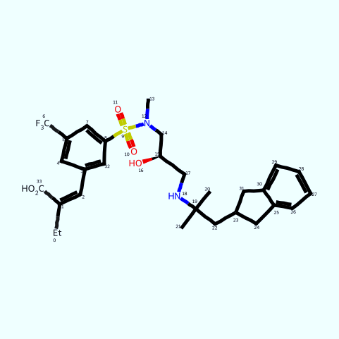 CCC(=Cc1cc(C(F)(F)F)cc(S(=O)(=O)N(C)C[C@H](O)CNC(C)(C)CC2Cc3ccccc3C2)c1)C(=O)O